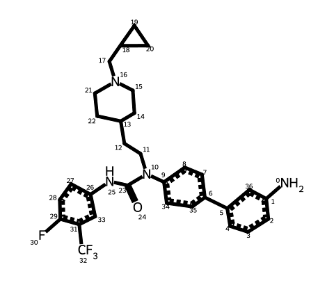 Nc1cccc(-c2ccc(N(CCC3CCN(CC4CC4)CC3)C(=O)Nc3ccc(F)c(C(F)(F)F)c3)cc2)c1